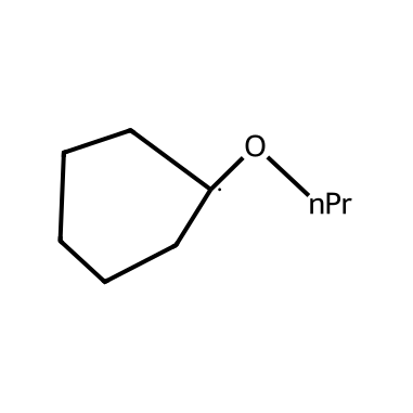 CCCO[C]1CCCCC1